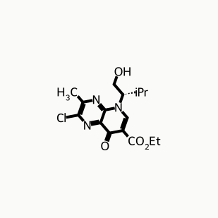 CCOC(=O)c1cn([C@H](CO)C(C)C)c2nc(C)c(Cl)nc2c1=O